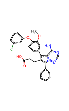 COc1cc(-c2c(CCC(=O)O)c(-c3ccccc3)n3ncnc(N)c23)ccc1Oc1cccc(Cl)c1